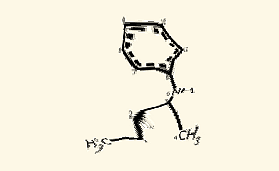 CCCC(C)Nc1ccccc1